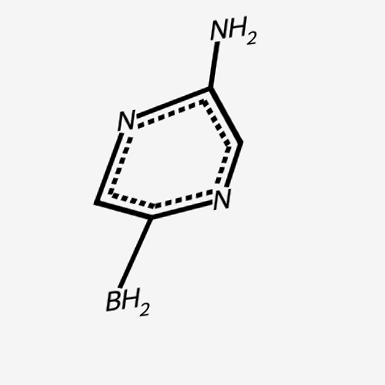 Bc1cnc(N)cn1